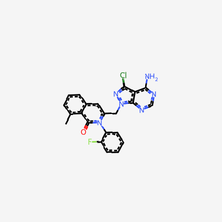 Cc1cccc2cc(Cn3nc(Cl)c4c(N)ncnc43)n(-c3ccccc3F)c(=O)c12